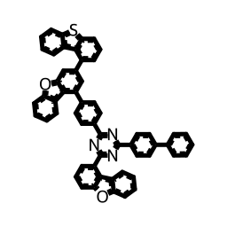 c1ccc(-c2ccc(-c3nc(-c4ccc(-c5cc(-c6cccc7sc8ccccc8c67)cc6oc7ccccc7c56)cc4)nc(-c4cccc5oc6ccccc6c45)n3)cc2)cc1